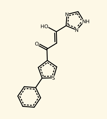 O=C(C=C(O)c1nc[nH]n1)c1csc(-c2ccccc2)c1